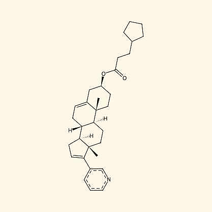 C[C@]12CC[C@H](OC(=O)CCC3CCCC3)CC1=CC[C@@H]1[C@@H]2CC[C@]2(C)C(c3cccnc3)=CC[C@@H]12